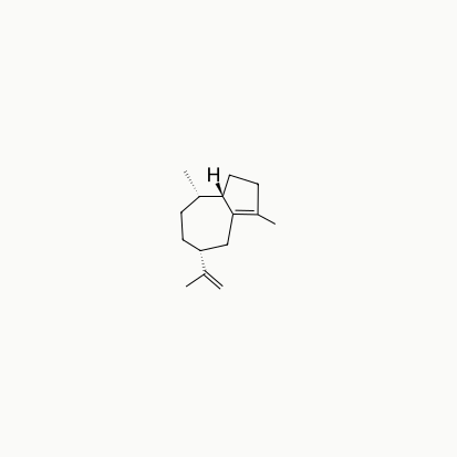 C=C(C)[C@@H]1CC[C@H](C)[C@@H]2CCC(C)=C2C1